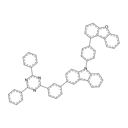 c1ccc(-c2nc(-c3ccccc3)nc(-c3cccc(-c4ccc5c(c4)c4ccccc4n5-c4ccc(-c5cccc6oc7ccccc7c56)cc4)c3)n2)cc1